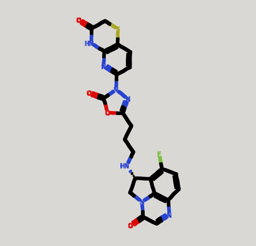 O=C1CSc2ccc(-n3nc(CCCN[C@H]4Cn5c(=O)cnc6ccc(F)c4c65)oc3=O)nc2N1